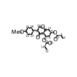 C=CC(=O)Oc1cc(OC(=O)C=C)c2c(=O)c(-c3ccc(OC)cc3)coc2c1